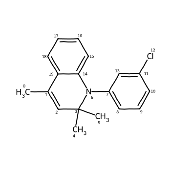 CC1=CC(C)(C)N(c2cccc(Cl)c2)c2ccccc21